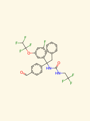 O=Cc1ccc(C(Cc2ccccc2)(NC(=O)NCC(F)(F)F)c2cc(F)cc(OC(F)(F)C(F)F)c2)cc1